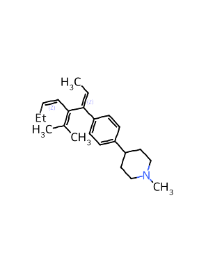 C/C=C(\C(/C=C\CC)=C(C)C)c1ccc(C2CCN(C)CC2)cc1